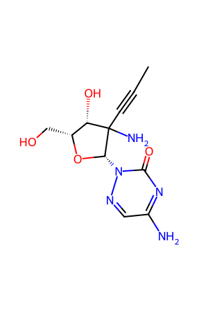 CC#CC1(N)[C@@H](O)[C@@H](CO)O[C@H]1n1ncc(N)nc1=O